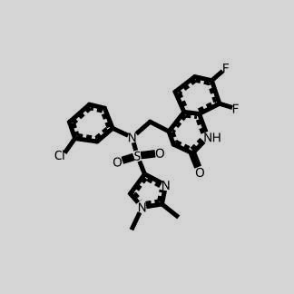 Cc1nc(S(=O)(=O)N(Cc2cc(=O)[nH]c3c(F)c(F)ccc23)c2cccc(Cl)c2)cn1C